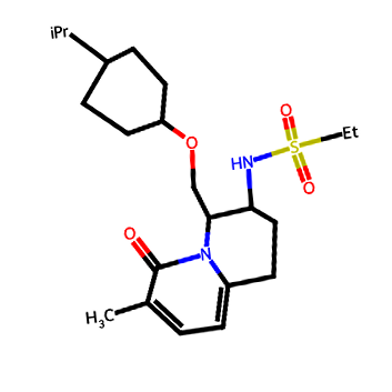 CCS(=O)(=O)NC1CCc2ccc(C)c(=O)n2C1COC1CCC(C(C)C)CC1